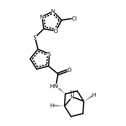 O=C(N[C@@H]1C[C@H]2CC[C@@H]1N2)c1ccc(Sc2nnc(Cl)o2)s1